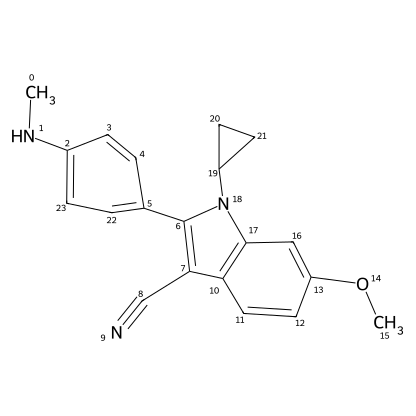 CNc1ccc(-c2c(C#N)c3ccc(OC)cc3n2C2CC2)cc1